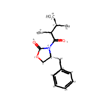 CC(C)(C)C(C(=O)N1C(=O)OC[C@H]1Cc1ccccc1)[C@@H](C(=O)O)C(C)(C)C